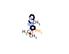 Cn1c(CN2CCCCC2)nc2cc(OC(C)(C)F)c(P)cc21